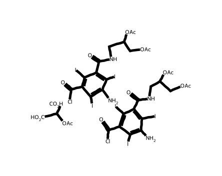 CC(=O)OC(C(=O)O)C(=O)O.CC(=O)OCC(CNC(=O)c1c(I)c(N)c(I)c(C(=O)Cl)c1I)OC(C)=O.CC(=O)OCC(CNC(=O)c1c(I)c(N)c(I)c(C(=O)Cl)c1I)OC(C)=O